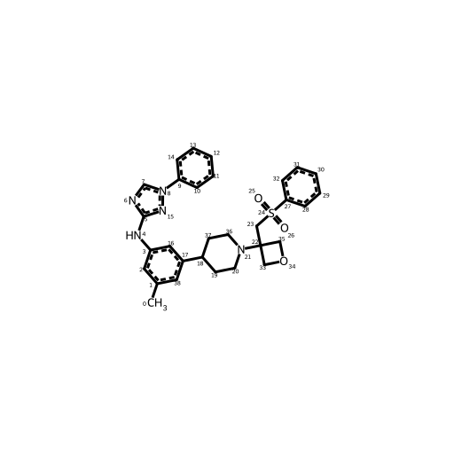 Cc1cc(Nc2ncn(-c3ccccc3)n2)cc(C2CCN(C3(CS(=O)(=O)c4ccccc4)COC3)CC2)c1